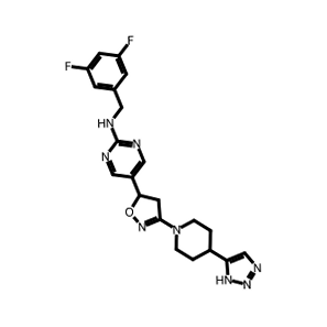 Fc1cc(F)cc(CNc2ncc(C3CC(N4CCC(c5cnn[nH]5)CC4)=NO3)cn2)c1